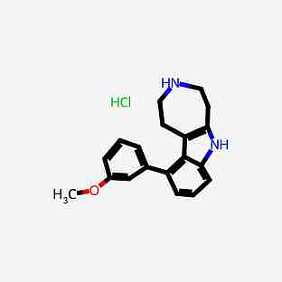 COc1cccc(-c2cccc3[nH]c4c(c23)CCNCC4)c1.Cl